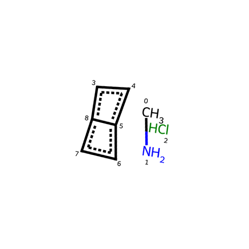 CN.Cl.c1cc2ccc1-2